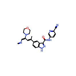 C=N/C=C(\C=C(/C)c1ccc2[nH]nc(C(=O)Nc3ccc(C#N)nc3)c2c1)N1CCOCC1